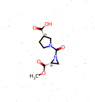 COC(=O)[C@H]1CN1C(=O)N1CC[C@H](C(=O)O)C1